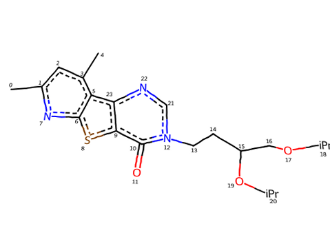 Cc1cc(C)c2c(n1)sc1c(=O)n(CCC(COC(C)C)OC(C)C)cnc12